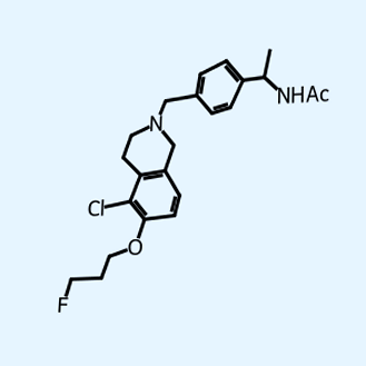 CC(=O)NC(C)c1ccc(CN2CCc3c(ccc(OCCCF)c3Cl)C2)cc1